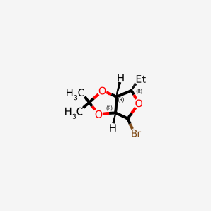 CC[C@H]1OC(Br)[C@@H]2OC(C)(C)O[C@H]12